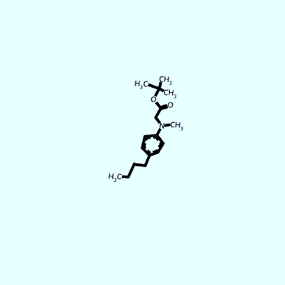 CCCCc1ccc(N(C)CC(=O)OC(C)(C)C)cc1